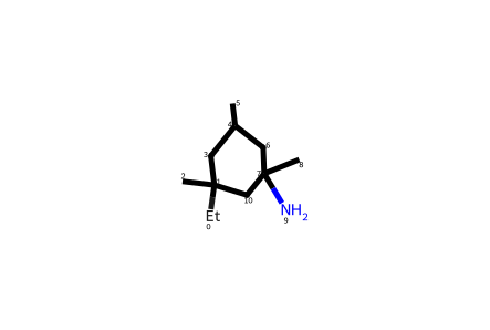 CCC1(C)CC(C)CC(C)(N)C1